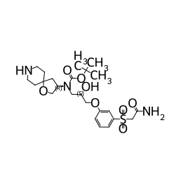 CC(C)(C)OC(=O)N(C[C@H](O)COc1cccc(S(=O)(=O)CC(N)=O)c1)[C@H]1COC2(CCNCC2)C1